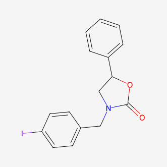 O=C1OC(c2ccccc2)CN1Cc1ccc(I)cc1